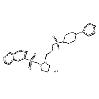 Cl.O=S(=O)(CCC[C@H]1CCCN1S(=O)(=O)c1ccc2ccccc2c1)N1CCN(c2ccncc2)CC1